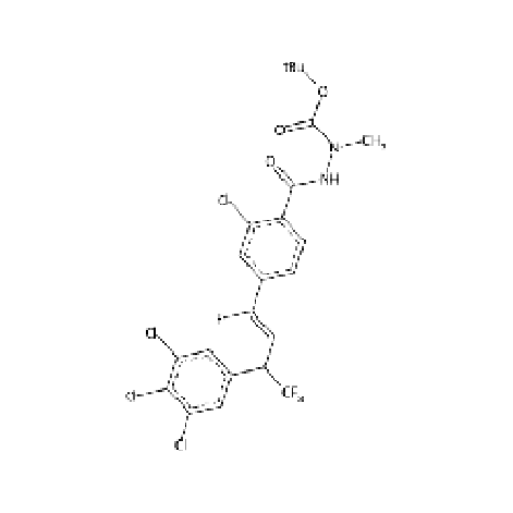 CN(NC(=O)c1ccc(/C(F)=C/C(c2cc(Cl)c(Cl)c(Cl)c2)C(F)(F)F)cc1Cl)C(=O)OC(C)(C)C